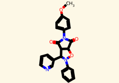 COc1ccc(N2C(=O)C3ON(c4ccccc4)C(c4cccnc4)C3C2=O)cc1